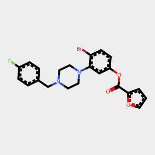 O=C(Oc1ccc(Br)c(N2CCN(Cc3ccc(F)cc3)CC2)c1)c1ccco1